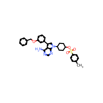 Cc1ccc(S(=O)(=O)OC2CCC(n3cc(-c4cccc(OCc5ccccc5)c4)c4c(N)ncnc43)CC2)cc1